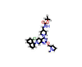 CN1CCCC1COc1nc2c(c(N3CCC(CNC(=O)OC(C)(C)C)CC3)n1)CCN(c1cccc3cccc(Cl)c13)C2